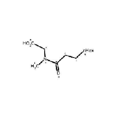 CCCCCCCCC(=O)N(C)CC(=O)O